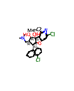 COc1nc(Cl)cc2c1[C@]1(O)[C@H](O)[C@H](CN(C)C)[C@@H](c3ccccc3)[C@]1(c1ccc(Cl)cc1)O2